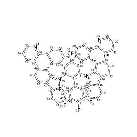 Fc1c(F)c(F)c(-c2c(-n3c4ccccc4c4ccc(-c5cccnc5-c5ccccc5)cc43)cc(C(F)(F)F)cc2-n2c3ccccc3c3ccc(-c4cccnc4-c4ccccc4)cc32)c(F)c1F